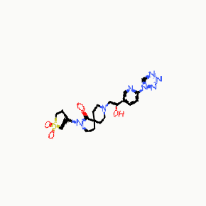 O=C1N(C2=CS(=O)(=O)CC2)CCC12CCN(C[C@H](O)c1ccc(-n3cnnn3)nc1)CC2